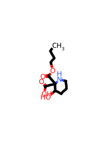 CCCCOC(=O)C1(C(=O)O)NCCCC1O